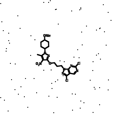 COC1CCC(n2nc(OCCCn3nc(Cl)c4cnc(Cl)nc43)c([N+](=O)[O-])c2C)CC1